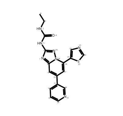 CCNC(=O)Nc1nc2cc(-c3cccnc3)cc(-c3cncs3)n2n1